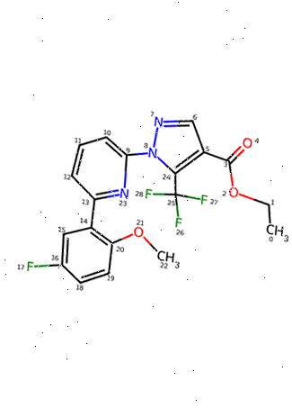 CCOC(=O)c1cnn(-c2cccc(-c3cc(F)ccc3OC)n2)c1C(F)(F)F